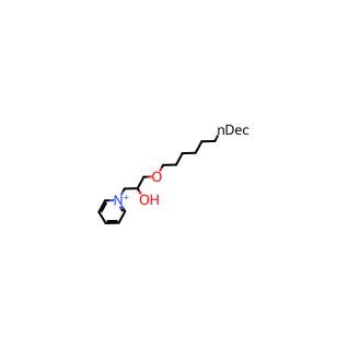 CCCCCCCCCCCCCCCCOCC(O)C[n+]1ccccc1